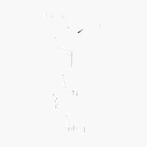 CCCCCCCc1cnc(-c2ccc(C=C(C[C@H](C)CC)C(=O)O)cc2)nc1